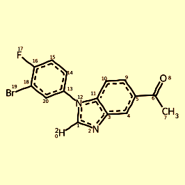 [2H]c1nc2cc(C(C)=O)ccc2n1-c1ccc(F)c(Br)c1